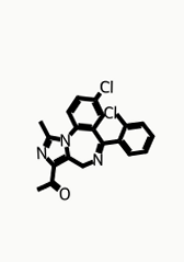 CC(=O)c1nc(C)n2c1CN=C(c1ccccc1Cl)c1cc(Cl)ccc1-2